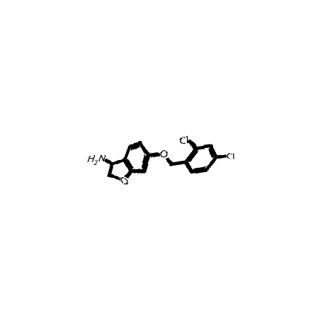 NC1COc2cc(OCc3ccc(Cl)cc3Cl)ccc21